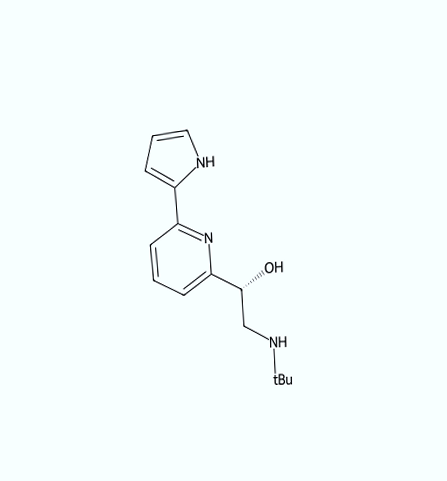 CC(C)(C)NC[C@@H](O)c1cccc(-c2ccc[nH]2)n1